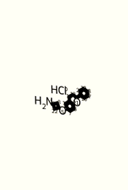 Cl.N[C@H]1C[C@@H](Oc2ccc3c(c2)CCC(c2ccccc2)O3)C1